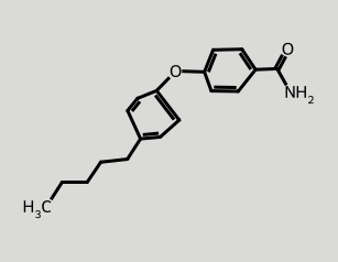 CCCCCc1ccc(Oc2ccc(C(N)=O)cc2)cc1